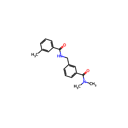 Cc1cccc(C(=O)NCc2cccc(C(=O)N(C)C)c2)c1